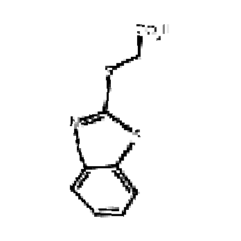 O=C(O)CSc1nc2ccccc2s1